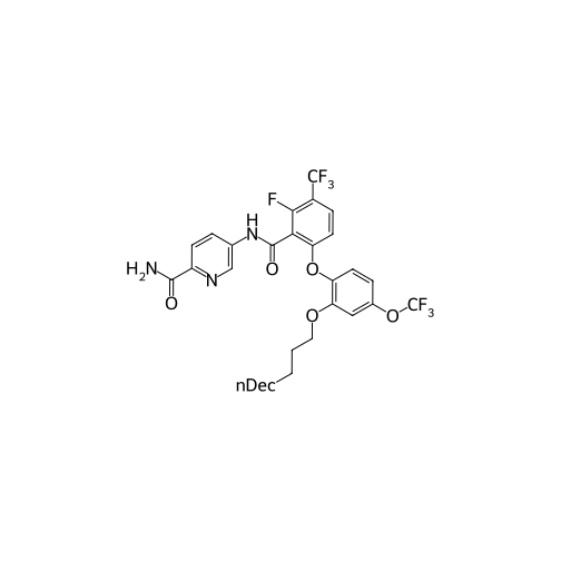 CCCCCCCCCCCCCOc1cc(OC(F)(F)F)ccc1Oc1ccc(C(F)(F)F)c(F)c1C(=O)Nc1ccc(C(N)=O)nc1